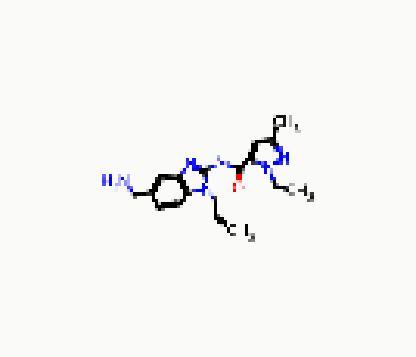 C=CCn1c(NC(=O)c2cc(C)nn2CC)nc2cc(CN)ccc21